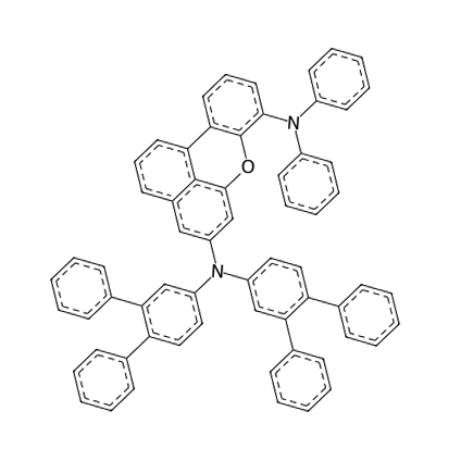 c1ccc(-c2ccc(N(c3ccc(-c4ccccc4)c(-c4ccccc4)c3)c3cc4c5c(cccc5c3)-c3cccc(N(c5ccccc5)c5ccccc5)c3O4)cc2-c2ccccc2)cc1